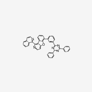 c1ccc(-c2nc(-c3ccccc3)nc(-c3cccc(-c4cccc5c4oc4ccnc(-c6nccc7ccccc67)c45)c3)n2)cc1